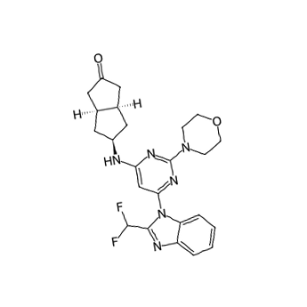 O=C1C[C@@H]2C[C@H](Nc3cc(-n4c(C(F)F)nc5ccccc54)nc(N4CCOCC4)n3)C[C@@H]2C1